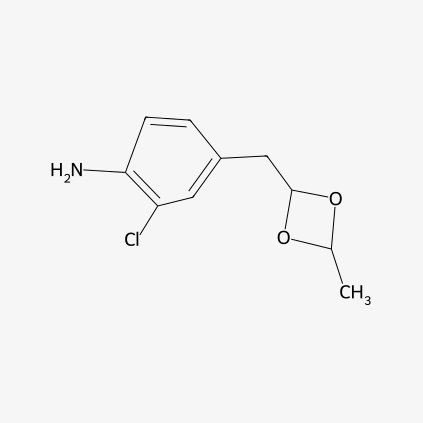 CC1OC(Cc2ccc(N)c(Cl)c2)O1